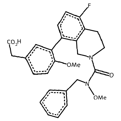 COc1ccc(CC(=O)O)cc1-c1ccc(F)c2c1CN(C(=O)N(Cc1ccccc1)OC)CC2